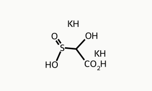 O=C(O)C(O)S(=O)O.[KH].[KH]